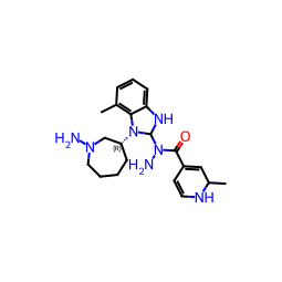 Cc1cccc2c1N([C@@H]1CCCCN(N)C1)C(N(N)C(=O)C1=CC(C)NC=C1)N2